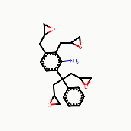 Nc1c(C(CC2CO2)(CC2CO2)c2ccccc2)ccc(CC2CO2)c1CC1CO1